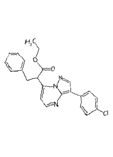 CCOC(=O)C(Cc1ccccc1)c1ccnc2c(-c3ccc(Cl)cc3)cnn12